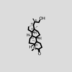 C[C@@H](CO)[C@H]1CC[C@H]2[C@@H]3CC[C@H]4N(C)C(=O)CC[C@]4(C)[C@H]3CC[C@]12C